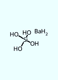 O[Si](O)(O)O.[BaH2]